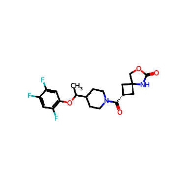 CC(Oc1cc(F)c(F)cc1F)C1CCN(C(=O)[C@H]2C[C@]3(COC(=O)N3)C2)CC1